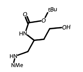 CNNCC(CCO)NC(=O)OC(C)(C)C